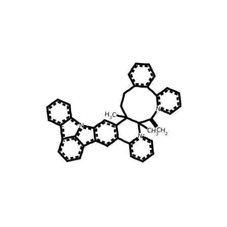 C=C1[n+]2ccccc2-c2ccccc2CCC2(C)c3cc4c(cc3-c3cccc[n+]3C12C)c1cccc2c3ccccc3n4c21